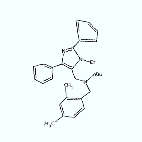 CCCCN(Cc1ccc(C)cc1C)Cc1c(-c2ccccc2)nc(-c2ccccc2)n1CC